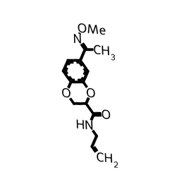 C=CCNC(=O)C1COc2ccc(C(C)=NOC)cc2O1